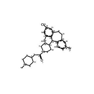 CN1CCC(CC(=O)N2CCC(C3c4ncc(Br)cc4CCc4cc(Cl)cc(Br)c43)CC2)CC1